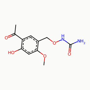 COc1cc(O)c(C(C)=O)cc1CONC(N)=O